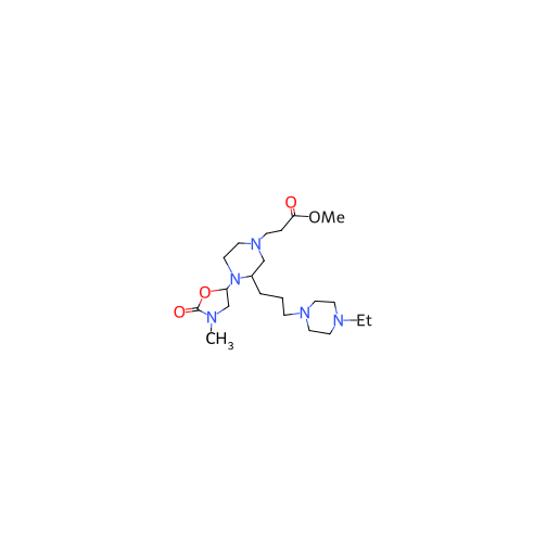 CCN1CCN(CCCC2CN(CCC(=O)OC)CCN2C2CN(C)C(=O)O2)CC1